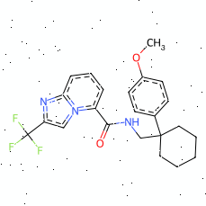 COc1ccc(C2(CNC(=O)c3cccc4nc(C(F)(F)F)cn34)CCCCC2)cc1